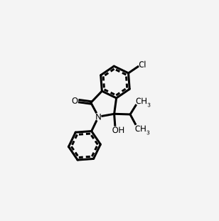 CC(C)C1(O)c2cc(Cl)ccc2C(=O)N1c1ccccc1